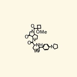 COC1(C(=O)N2CC(=O)C3C2CCN3C(=O)C(CC(C)C)NC(=O)c2ccc(N3CCCC3)cc2)CCC1